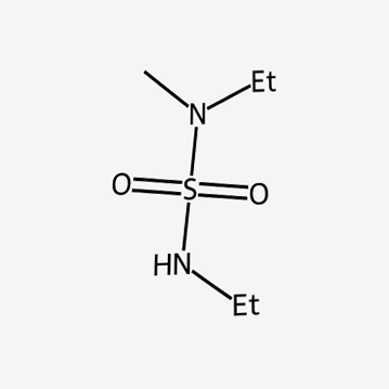 CCNS(=O)(=O)N(C)CC